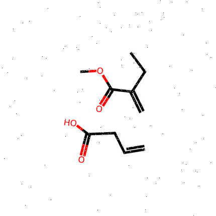 C=C(CC)C(=O)OC.C=CCC(=O)O